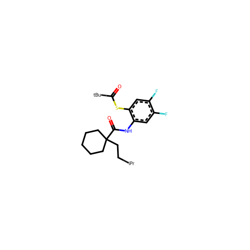 CC(C)CCC1(C(=O)Nc2cc(F)c(F)cc2SC(=O)C(C)(C)C)CCCCC1